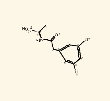 C[C@H](NC(=O)Cc1cc(Cl)cc(Cl)c1)C(=O)O